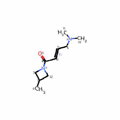 CC1CN(C(=O)/C=C/CN(C)C)C1